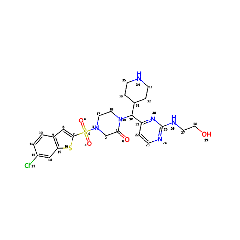 O=C1CN(S(=O)(=O)c2cc3ccc(Cl)cc3s2)CCN1C(c1ccnc(NCCO)n1)C1CCNCC1